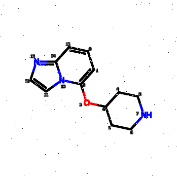 c1cc(OC2CCNCC2)n2ccnc2c1